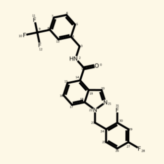 O=C(NCc1cccc(C(F)(F)F)c1)c1cccc2c1cnn2Cc1ccc(F)cc1F